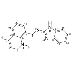 CC1=CCN(C)c2c(CSc3nc4ccccc4[nH]3)cccc21